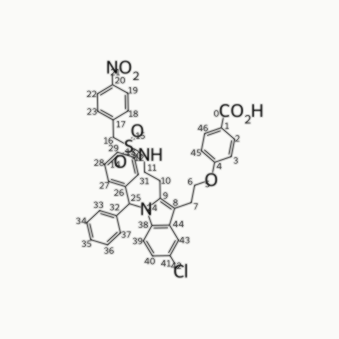 O=C(O)c1ccc(OCCc2c(CCNS(=O)(=O)Cc3ccc([N+](=O)[O-])cc3)n(C(c3ccccc3)c3ccccc3)c3ccc(Cl)cc23)cc1